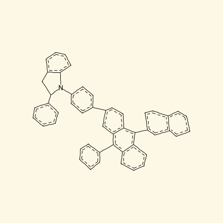 c1ccc(-c2c3ccccc3c(-c3ccc4ccccc4c3)c3ccc(-c4ccc(N5c6ccccc6CC5c5ccccc5)cc4)cc23)cc1